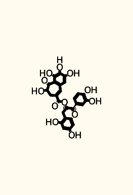 O=C(O[C@@H]1Cc2c(O)cc(O)cc2O[C@@H]1c1ccc(O)c(O)c1)C1=Cc2cc(O)c(O)c(O)c2C(=O)C(O)C1